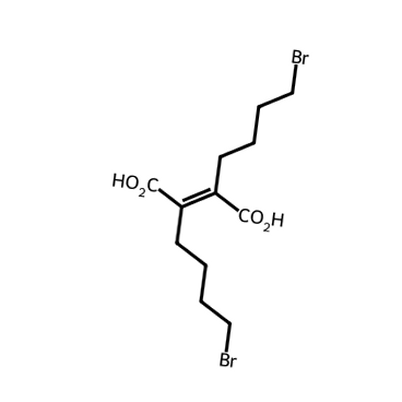 O=C(O)C(CCCCBr)=C(CCCCBr)C(=O)O